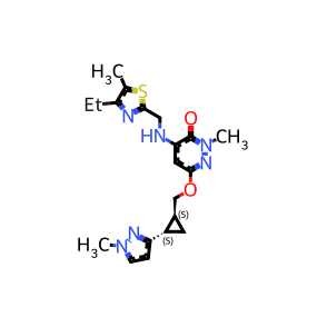 CCc1nc(CNc2cc(OC[C@H]3C[C@@H]3c3ccn(C)n3)nn(C)c2=O)sc1C